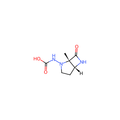 C[C@@]12C(=O)N[C@@H]1CCN2NC(=O)O